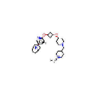 CC1CC2CCC(C1)N2c1ccc(OC2CC(OC3CCN(CC4CCN(C)CC4)CC3)C2)nc1